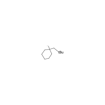 [CH2]C1(CC(C)(C)C)CCCCC1